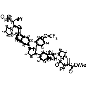 COC(=O)N[C@H](C(=O)N1CCC[C@H]1c1nc2cc([C@H]3CC[C@H](c4ccc5[nH]c([C@@H]6CCCN6C(=O)[C@@H](NC(=O)O)C(C)C)nc5c4)N3c3ccc(OC(F)(F)F)cc3)ccc2[nH]1)C(C)C